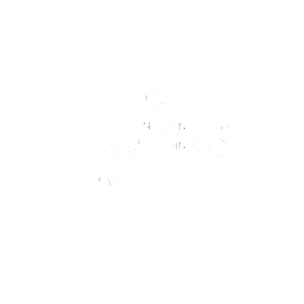 CC(C)[C@H]1CC[C@H](C)CC1OC(=O)O[C@@H]1CCN(C(c2ccccc2)c2cnc(NC(=O)C3(c4ccc5c(c4)OCO5)CC3)s2)C1